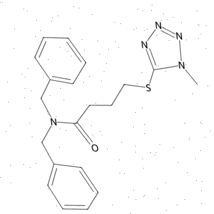 Cn1nnnc1SCCCC(=O)N(Cc1ccccc1)Cc1ccccc1